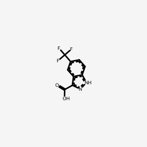 O=C(O)c1n[nH]c2ccc(C(F)(F)F)cc12